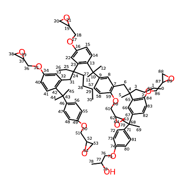 CCCCC(C)(Cc1cc(C(C)(C)c2ccc(OCC3CO3)cc2C(CC)(CCCC)Cc2cc(OCC3CO3)ccc2C(C)(C)c2ccc(OCC3CO3)cc2)ccc1OCC1CO1)c1cc(C(C)(C)c2ccc(OCC(C)O)cc2)ccc1OCC1CO1